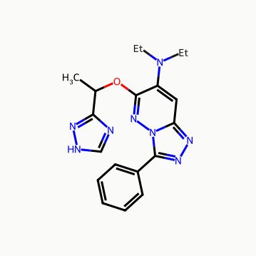 CCN(CC)c1cc2nnc(-c3ccccc3)n2nc1OC(C)c1nc[nH]n1